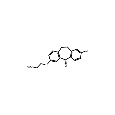 CC(=O)OCCOc1ccc2c(c1)C(=O)c1ccc(Cl)cc1CC2